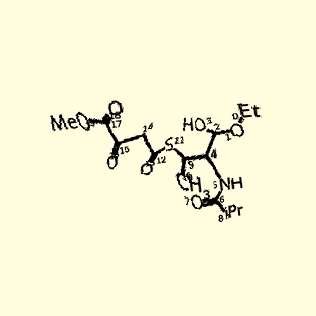 CCOC(O)C(NC(=O)C(C)C)C(C)SC(=O)CC(=O)C(=O)OC